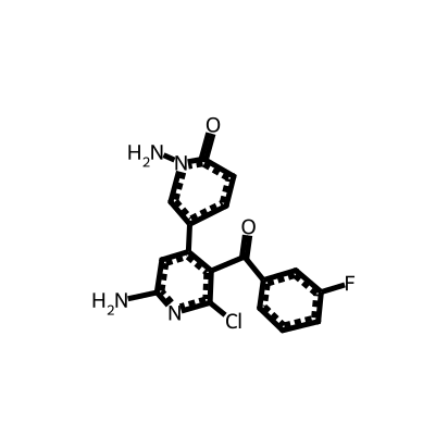 Nc1cc(-c2ccc(=O)n(N)c2)c(C(=O)c2cccc(F)c2)c(Cl)n1